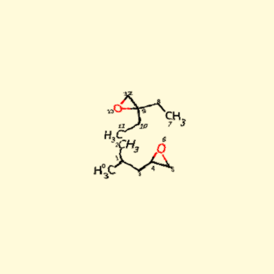 CC(C)CC1CO1.CCC1(CC)CO1